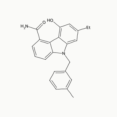 CCc1cc(O)c2c3c(C(N)=O)cccc3n(Cc3cccc(C)c3)c2c1